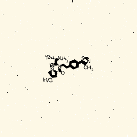 Cc1ncsc1-c1ccc(CCN(C(=O)[C@@H]2C[C@@H](O)CN2)C(=O)[C@@H](N)C(C)(C)C)cc1